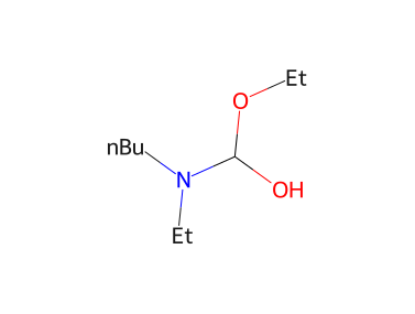 CCCCN(CC)C(O)OCC